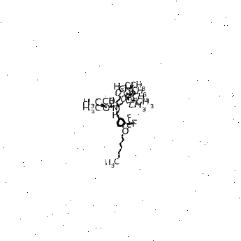 CCCCCCCOc1ccc(CCC(CCOC)(COP(=O)(OC(C)(C)C)OC(C)(C)C)NC(=O)OC(C)(C)C)cc1C(F)(F)F